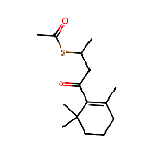 CC(=O)SC(C)CC(=O)C1=C(C)CCCC1(C)C